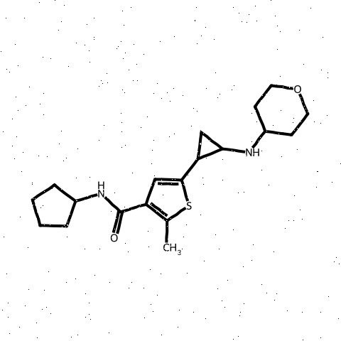 Cc1sc(C2CC2NC2CCOCC2)cc1C(=O)NC1CCCC1